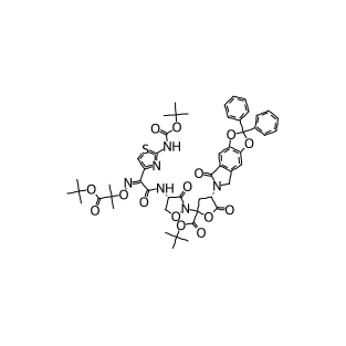 CC(C)(C)OC(=O)Nc1nc(/C(=N/OC(C)(C)C(=O)OC(C)(C)C)C(=O)N[C@H]2CON(C3(C(=O)OC(C)(C)C)C[C@H](N4Cc5cc6c(cc5C4=O)OC(c4ccccc4)(c4ccccc4)O6)C(=O)O3)C2=O)cs1